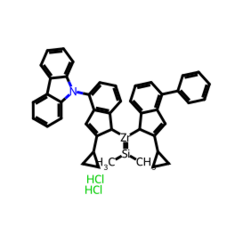 C[Si](C)=[Zr]([CH]1C(C2CC2)=Cc2c(-c3ccccc3)cccc21)[CH]1C(C2CC2)=Cc2c1cccc2-n1c2ccccc2c2ccccc21.Cl.Cl